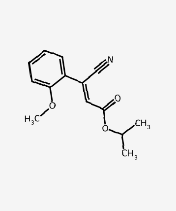 COc1ccccc1C(C#N)=CC(=O)OC(C)C